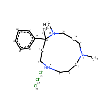 CN1CCCNCC[C]([Ti+3])(c2ccccc2)N(C)CCC1.[Cl-].[Cl-].[Cl-]